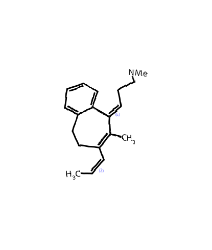 C/C=C\C1=C(C)C(=C/CCNC)/c2ccccc2CC1